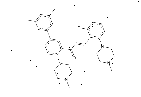 Cc1cc(C)cc(-c2ccc(N3CCN(C)CC3)c(C(=O)C=Cc3c(F)cccc3N3CCN(C)CC3)c2)c1